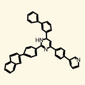 C1=C(c2ccc(-c3cccnc3)cc2)N=C(c2ccc(-c3ccc4ccccc4c3)cc2)NC1c1cccc(-c2ccccc2)c1